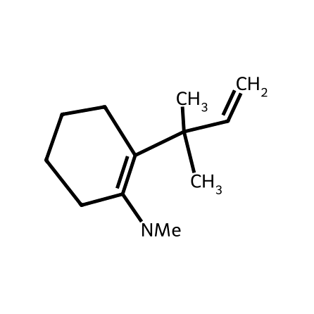 C=CC(C)(C)C1=C(NC)CCCC1